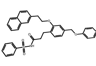 O=C(CCc1ccc(COc2ccccc2)cc1OCCc1ccc2ccccc2c1)NS(=O)(=O)c1ccccc1